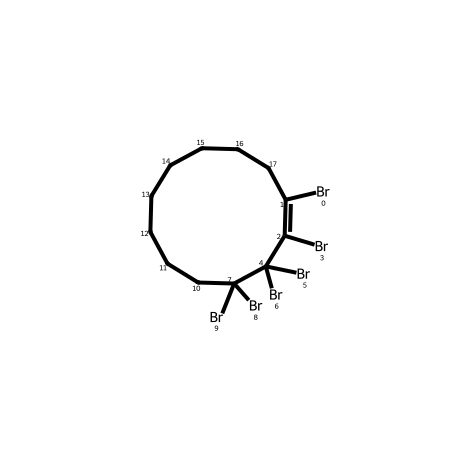 BrC1=C(Br)C(Br)(Br)C(Br)(Br)CCCCCCCC1